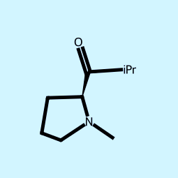 CC(C)C(=O)[C@@H]1CCCN1C